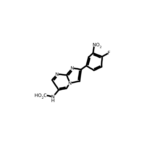 O=C(O)Nc1cnc2nc(-c3ccc(F)c([N+](=O)[O-])c3)cn2c1